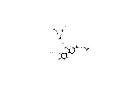 C=Cc1cc(C=O)c(-c2ccc(C(=O)NCC3CC3)nc2C(=O)OCOC(=O)[C@H](CCC(=O)OC(C)(C)C)NC(=O)OC(C)(C)C)cc1OC